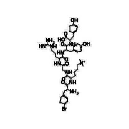 C[N+](C)(C)CCCCC(NC(=O)C(N)Cc1ccc(Br)cc1)C(=O)NCC(=O)NC(CCCNC(=N)N)C(=O)NC(Cc1ccc(O)cc1)C(=O)NC(Cc1ccc(O)cc1)C(=O)O